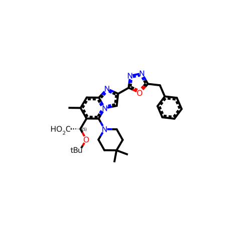 Cc1cc2nc(-c3nnc(Cc4ccccc4)o3)cn2c(N2CCC(C)(C)CC2)c1[C@H](OC(C)(C)C)C(=O)O